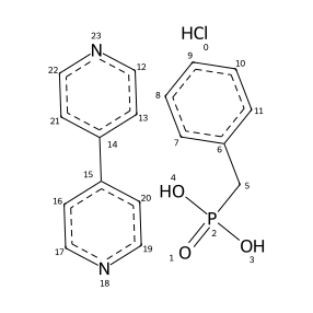 Cl.O=P(O)(O)Cc1ccccc1.c1cc(-c2ccncc2)ccn1